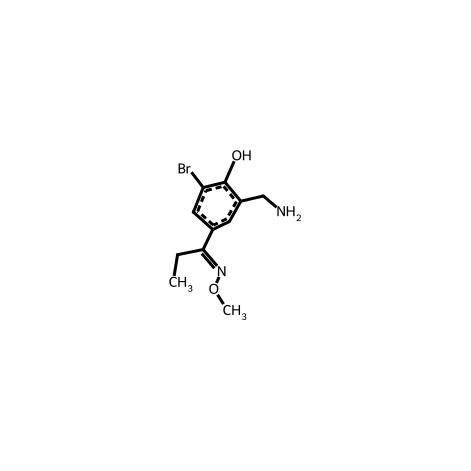 CCC(=NOC)c1cc(Br)c(O)c(CN)c1